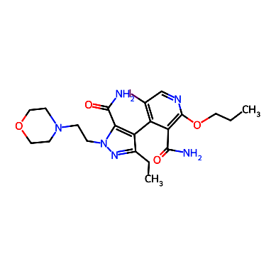 CCCOc1ncc(I)c(-c2c(CC)nn(CCN3CCOCC3)c2C(N)=O)c1C(N)=O